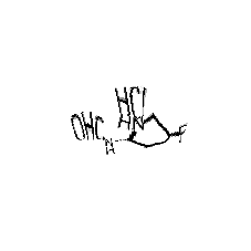 Cl.O=CN[C@H]1C[C@H](F)CN1